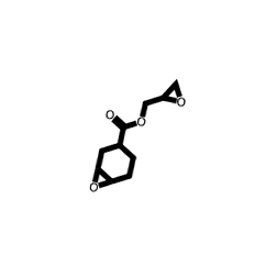 O=C(OCC1CO1)C1CCC2OC2C1